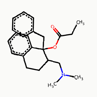 CCC(=O)OC1(Cc2ccccc2)c2ccccc2CCC1CN(C)C